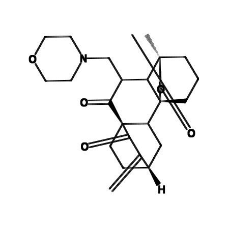 C=C1C(=O)[C@]23CC[C@H]1CC2[C@@]12CCC[C@@](C)(CCOC1=O)C2C(CN1CCOCC1)C3=O